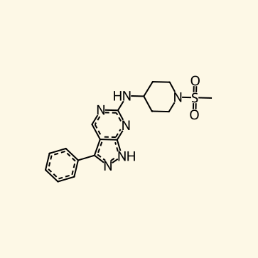 CS(=O)(=O)N1CCC(Nc2ncc3c(-c4ccccc4)n[nH]c3n2)CC1